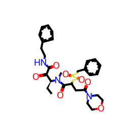 CC[C@@H](C(=O)C(=O)NCCc1ccccc1)N(C)C(=O)C(CC(=O)N1CCOCC1)S(=O)(=O)Cc1ccccc1